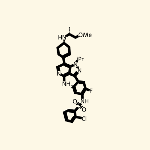 COC[C@@H](C)N[C@H]1CC=C(c2cnc(N)c3c(-c4ccc(NS(=O)(=O)c5ccccc5Cl)c(F)c4)nn(C(C)C)c23)CC1